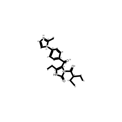 CCc1[nH]c(=O)n(C(=O)C(CC)CC)c1C(=O)c1ccc(-n2ccnc2C)cc1